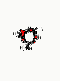 CC[C@H](C)[C@@H]1NC(=O)[C@@H](CCCNC(=N)N)NC(=O)[C@H](CC(C)C)NC(=O)[C@H]([C@H](O)C(C)C)NC(=O)[C@@H](NC(=O)[C@H](CC(C)C)NC(=O)[C@H](N)CC(C)C)[C@@H](c2ccccc2)OC(=O)[C@H](CO)NC(=O)[C@H]([C@H](O)C(=O)NCCN)NC(=O)CNC(=O)[C@H]([C@H](C)O)NC1=O